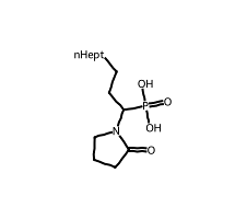 CCCCCCCCCC(N1CCCC1=O)P(=O)(O)O